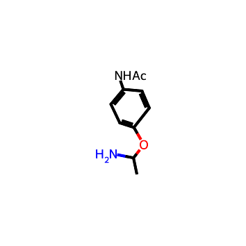 CC(=O)Nc1ccc(OC(C)N)cc1